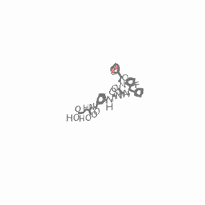 O=C(O)CCC(NC(=O)c1cccc(NC(=O)N[C@@H]2N=C(c3ccccc3F)c3ccccc3N(CC(=O)N3CC4CCC(CC4)C3)C2=O)c1)C(=O)O